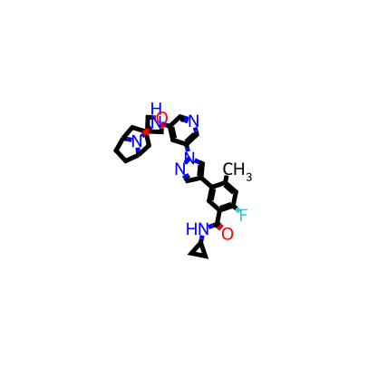 Cc1cc(F)c(C(=O)NC2CC2)cc1-c1cnn(-c2cncc(NC3CC4CCC(C3)N4C3COC3)c2)c1